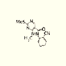 CSc1ncc2c(=O)n(-c3ccccc3C#N)n(C)c2n1